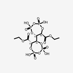 CCOC(=O)[C@H]1OP(=O)(O)OP(=O)(O)O[C@@H]1[C@@H]1OP(=O)(O)OP(=O)(O)O[C@H]1C(=O)OCC